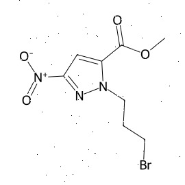 COC(=O)c1cc([N+](=O)[O-])nn1CCCBr